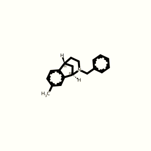 Cc1ccc2c(c1)[C@H]1C[C@H]2CCN1Cc1ccccc1